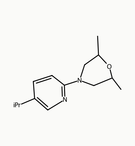 CC1CN(c2ccc(C(C)C)cn2)CC(C)O1